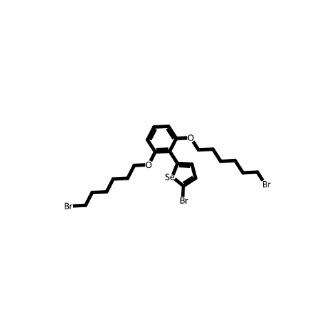 BrCCCCCCOc1cccc(OCCCCCCBr)c1-c1ccc(Br)[se]1